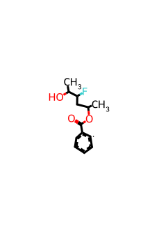 CC(CC(F)C(C)O)OC(=O)c1[c]cccc1